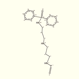 O=PNCCCNCCCNP(=O)(c1ccccc1)c1ccccc1